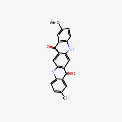 COc1ccc2[nH]c3cc4c(=O)c5cc(C)ccc5[nH]c4cc3c(=O)c2c1